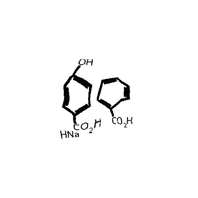 O=C(O)c1ccc(O)cc1.O=C(O)c1ccccc1.[NaH]